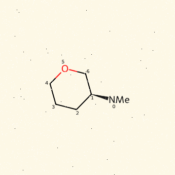 CN[C@H]1CCCOC1